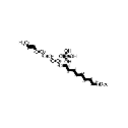 CC=COOOOOOOCCCCCCCCCCCCCCCCCC.O=P(O)(O)O